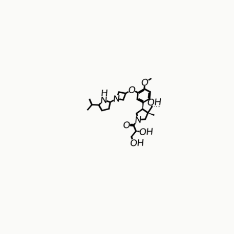 COc1ccc([C@@H]2CN(C(=O)[C@@H](O)CO)C[C@@]2(C)[C@@H](C)O)cc1OC1CN(C2CCC(C(C)C)N2)C1